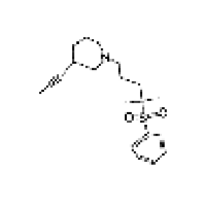 CC#CC1CCCN(CCCC(C)(C)S(=O)(=O)c2ccccc2)C1